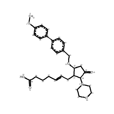 COc1ccc(-c2ccc(COC3CC(=O)C(N4CCOCC4)C3CC=CCCCC(=O)O)cc2)cc1